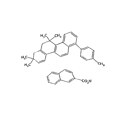 Cc1ccc(-c2cccc3c4c(ccc23)C2=C(CC(C)(C)C=C2)CC4(C)C)cc1.O=C(O)c1ccc2ccccc2c1